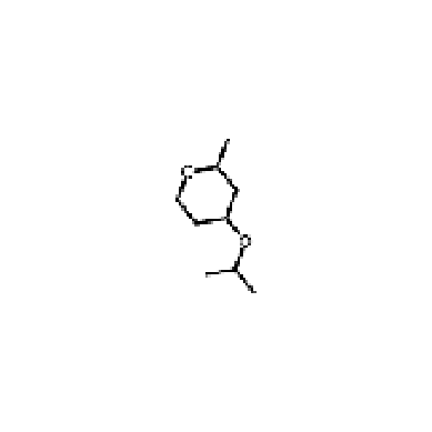 CC(C)OC1CCOC(C)C1